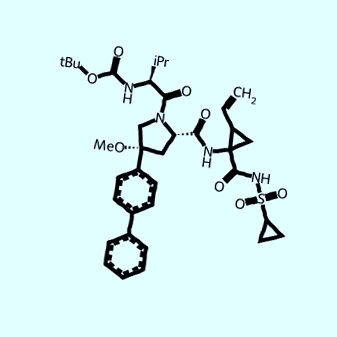 C=CC1CC1(NC(=O)[C@@H]1C[C@@](OC)(c2ccc(-c3ccccc3)cc2)CN1C(=O)[C@@H](NC(=O)OC(C)(C)C)C(C)C)C(=O)NS(=O)(=O)C1CC1